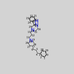 c1ccc(CCCC2CCN(CCCN3CCNC(c4ccccc4)C3)CC2)cc1